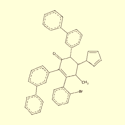 CC1C(c2ccccc2Br)=C(c2cccc(-c3ccccc3)c2)C(=O)C(c2cccc(-c3ccccc3)c2)C1C1C=CC=C1